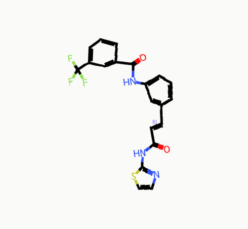 O=C(/C=C/c1cccc(NC(=O)c2cccc(C(F)(F)F)c2)c1)Nc1nccs1